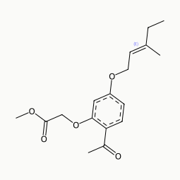 CC/C(C)=C/COc1ccc(C(C)=O)c(OCC(=O)OC)c1